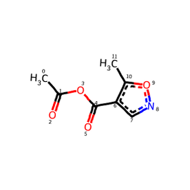 CC(=O)OC(=O)c1cnoc1C